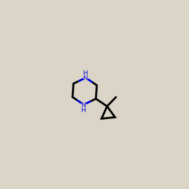 CC1(C2CNCCN2)CC1